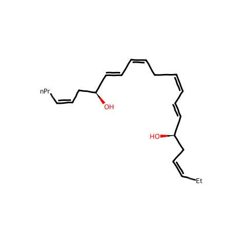 CC/C=C\C[C@@H](O)/C=C/C=C\C/C=C\C=C\[C@@H](O)C/C=C\CCC